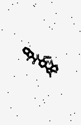 COc1cc(-c2cn(C)c3ncnc(N)c23)ccc1NC(=O)c1cc2ccccc2n1C